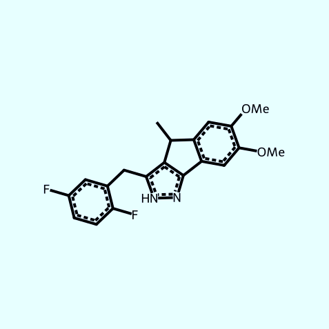 COc1cc2c(cc1OC)C(C)c1c-2n[nH]c1Cc1cc(F)ccc1F